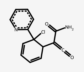 NC(=O)C(=C=O)C1C=CC=CC1(Cl)c1ccccn1